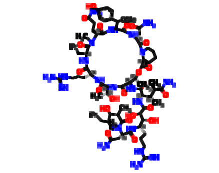 COC(c1ccc(O)cc1)C1NC(=O)[C@H](CCC(N)=O)N(C)C(=O)[C@H](CC(C)C)NC(=O)[C@@H](CCCNC(=N)N)NC(=O)[C@@H]([C@@H](C)O)NC(=O)[C@H](NC(=O)[C@@H](NC(=O)C(O)C(O)[C@H](CCCNC(=N)N)NC(=O)[C@H](CC(N)=O)NC(=O)C(C)C(O)C(C)CC(C)C)[C@@H](C)[C@@H](C)C(N)=O)[C@@H](C)OC(=O)[C@@H]2CCCCN2C(=O)[C@@H](CC(N)=O)NC1=O